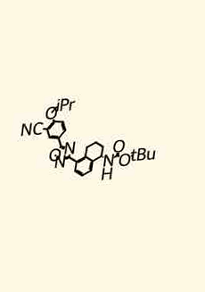 CC(C)Oc1ccc(-c2nc(-c3cccc4c3CCC[C@@H]4NC(=O)OC(C)(C)C)no2)cc1C#N